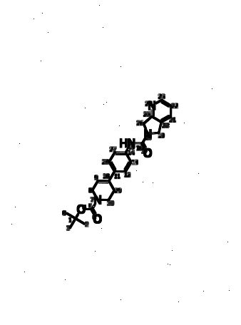 CC(C)(C)OC(=O)N1CC=C(c2ccc(NC(=O)N3Cc4cccnc4C3)cc2)CC1